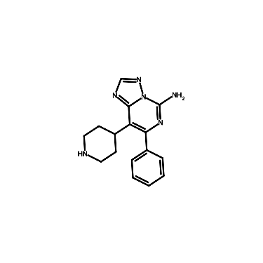 Nc1nc(-c2ccccc2)c(C2CCNCC2)c2ncnn12